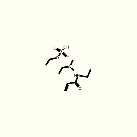 C=CC(=O)NCC.CCN(C)C.CCOS(=O)(=O)O